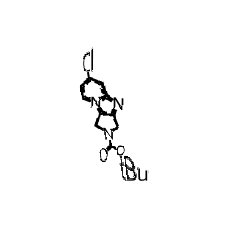 CC(C)(C)OC(=O)N1Cc2nc3cc(Cl)ccn3c2C1